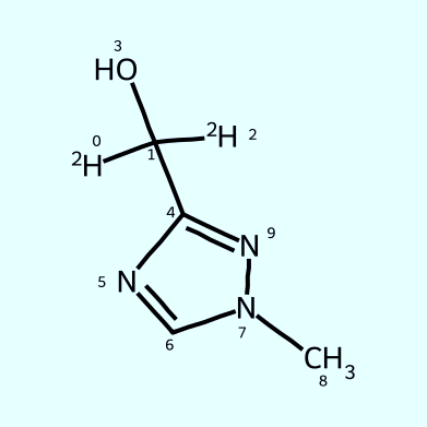 [2H]C([2H])(O)c1ncn(C)n1